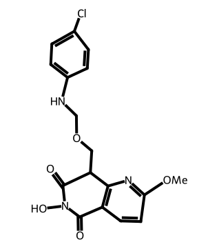 COc1ccc2c(n1)C(COCNc1ccc(Cl)cc1)C(=O)N(O)C2=O